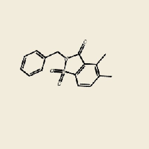 Cc1ccc2c(c1C)C(=O)N(Cc1ccccc1)S2(=O)=O